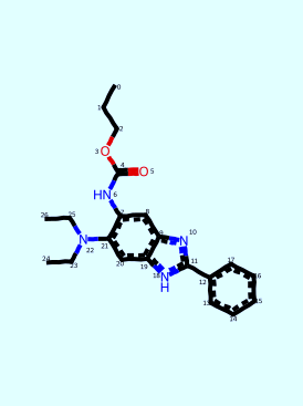 CCCOC(=O)Nc1cc2nc(-c3ccccc3)[nH]c2cc1N(CC)CC